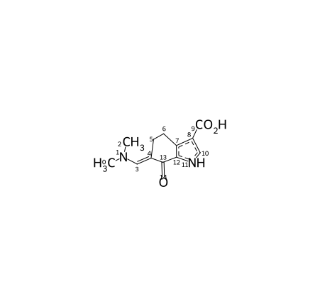 CN(C)C=C1CCc2c(C(=O)O)c[nH]c2C1=O